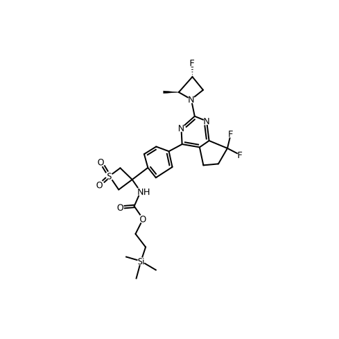 C[C@H]1[C@H](F)CN1c1nc(-c2ccc(C3(NC(=O)OCC[Si](C)(C)C)CS(=O)(=O)C3)cc2)c2c(n1)C(F)(F)CC2